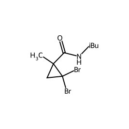 CCC(C)NC(=O)C1(C)CC1(Br)Br